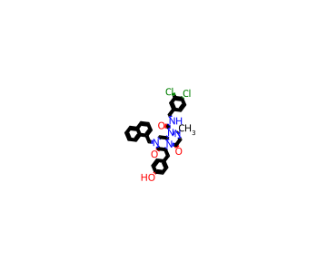 CN1CC(=O)N2C(Cc3ccc(O)cc3)C(=O)N(Cc3cccc4ccccc34)CC2N1C(=O)NCc1ccc(Cl)c(Cl)c1